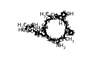 C=C(NC(=O)C(=C)NC(=O)c1csc(-c2ccc3c([n+]2[O-])-c2csc(n2)-c2csc(n2)C(C(C)CC)NC(=O)C(Cc2ccc(O)cc2)NC(=O)c2csc(n2)C(Cc2ccccc2)NC(=O)c2nc(sc2C)C(CC(N)=O)NC(=O)c2csc-3n2)n1)C(=O)O